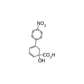 O=C(O)C1(O)C=CC=C(c2ccc([N+](=O)[O-])cc2)C1